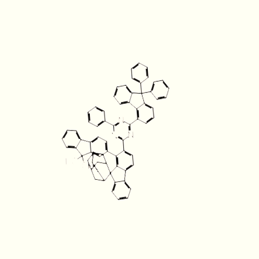 CC1(C)c2ccccc2-c2ccc(-c3c(-c4nc(-c5ccccc5)nc(-c5cccc6c5-c5ccccc5C6(c5ccccc5)c5ccccc5)n4)ccc4c3C3(c5ccccc5-4)C4CC5CC(C4)CC3C5)cc21